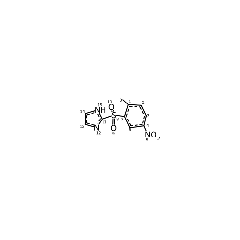 Cc1ccc([N+](=O)[O-])cc1S(=O)(=O)c1ncc[nH]1